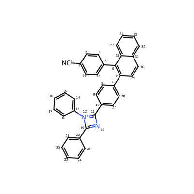 N#Cc1ccc(-c2c(-c3ccc(C4=[N+](c5ccccc5)C(c5ccccc5)=N4)cc3)ccc3ccccc23)cc1